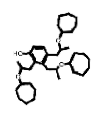 CC(Cc1ccc(O)c(CC(C)OC2CCCCCC2)c1CC(C)OC1CCCCCC1)OC1CCCCCC1